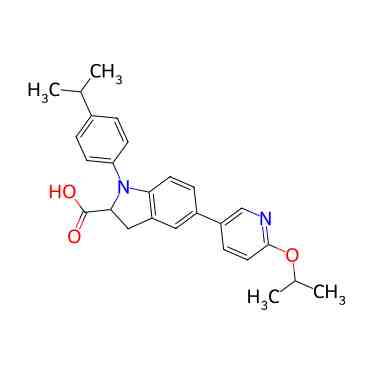 CC(C)Oc1ccc(-c2ccc3c(c2)CC(C(=O)O)N3c2ccc(C(C)C)cc2)cn1